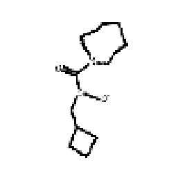 O=C(N1CCCCC1)[S+]([O-])CC1CCC1